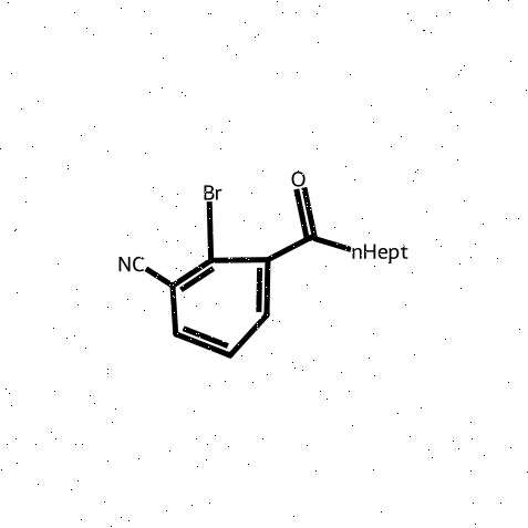 CCCCCCCC(=O)c1cccc(C#N)c1Br